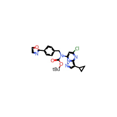 CC(C)(C)OC(=O)N(Cc1ccc(-c2ncco2)cc1)c1cc(Cl)nc2c(C3CC3)cnn12